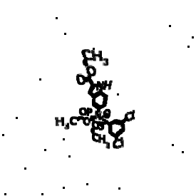 CCOC(=O)c1cc2cc(N(C(OCC)(OCC)P=O)S(=O)(=O)c3cc(Cl)cc(Cl)c3)ccc2[nH]1